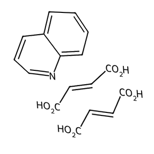 O=C(O)C=CC(=O)O.O=C(O)C=CC(=O)O.c1ccc2ncccc2c1